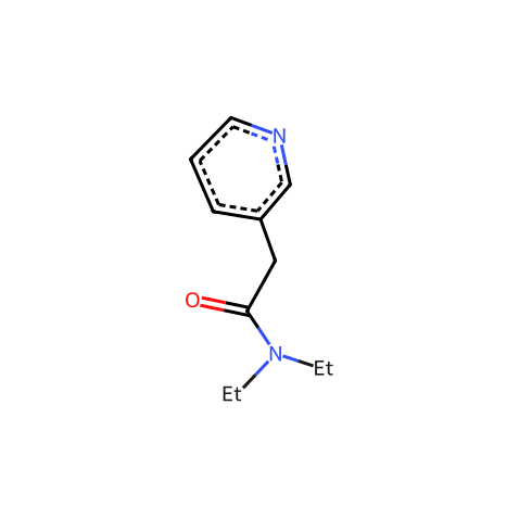 CCN(CC)C(=O)Cc1cccnc1